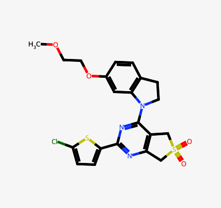 COCCOc1ccc2c(c1)N(c1nc(-c3ccc(Cl)s3)nc3c1CS(=O)(=O)C3)CC2